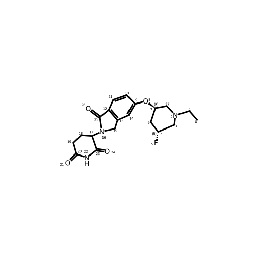 CCN1C[C@H](F)C[C@@H](Oc2ccc3c(c2)CN(C2CCC(=O)NC2=O)C3=O)C1